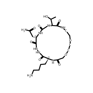 CC(O)C1NC(=O)N[C@@H](CC(N)=O)C(=O)NNC(=O)[C@H](CCCCN)NC(=O)COCCOCCNC1=O